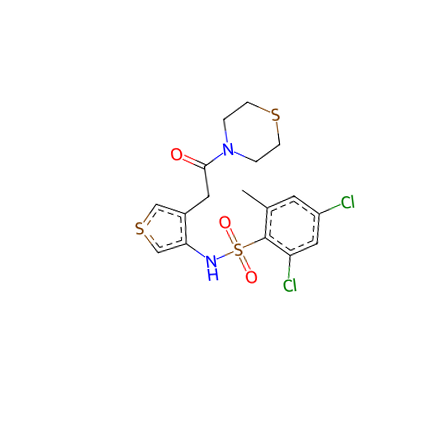 Cc1cc(Cl)cc(Cl)c1S(=O)(=O)Nc1cscc1CC(=O)N1CCSCC1